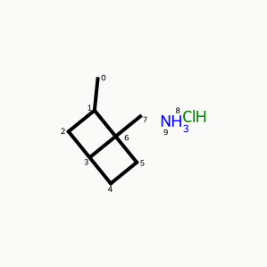 CC1CC2CCC12C.Cl.N